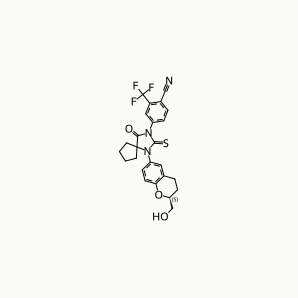 N#Cc1ccc(N2C(=O)C3(CCCC3)N(c3ccc4c(c3)CC[C@@H](CO)O4)C2=S)cc1C(F)(F)F